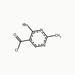 Cc1ncc(C(=O)Cl)c(C(C)(C)C)n1